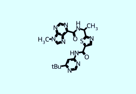 CC(NC(=O)c1ncnc2c1ncn2C)c1ncc(C(=O)Nc2cc(C(C)(C)C)ncn2)s1